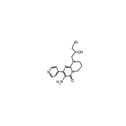 CC(C)CC(O)CN1CCCn2c1nc(-c1ccncc1)c(N)c2=O